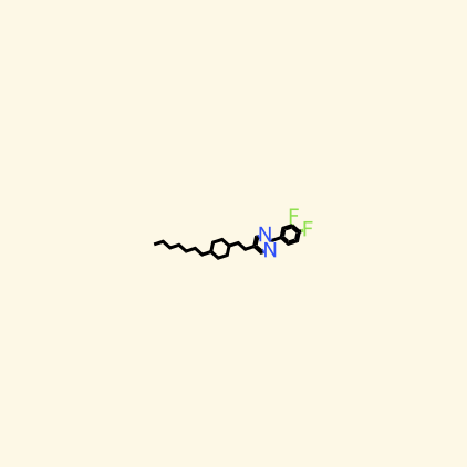 CCCCCCCC1CCC(CCc2cnc(-c3ccc(F)c(F)c3)nc2)CC1